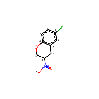 O=[N+]([O-])C1COc2ccc(F)cc2C1